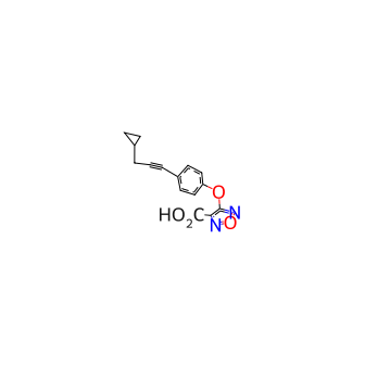 O=C(O)c1nonc1Oc1ccc(C#CCC2CC2)cc1